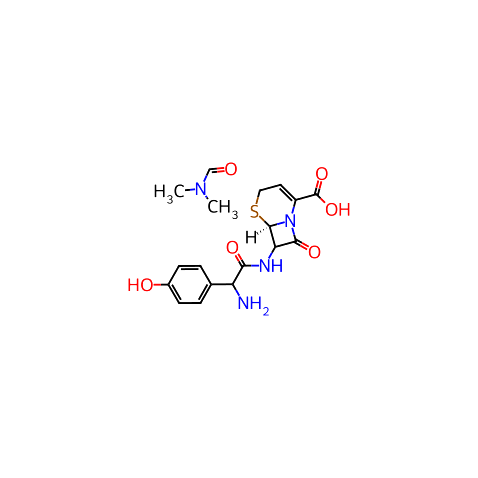 CN(C)C=O.NC(C(=O)NC1C(=O)N2C(C(=O)O)=CCS[C@H]12)c1ccc(O)cc1